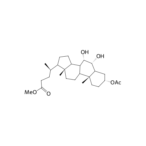 COC(=O)CC[C@@H](C)C1CCC2C3C(CC[C@@]21C)[C@@]1(C)CC[C@@H](OC(C)=O)CC1[C@@H](O)[C@H]3O